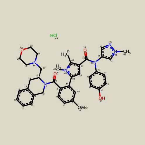 COc1ccc(C(=O)N2Cc3ccccc3C[C@H]2CN2CCOCC2)c(-c2cc(C(=O)N(c3ccc(O)cc3)c3cnn(C)c3)c(C)n2C)c1.Cl